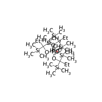 CCC(OP(=O)(OC(CC)([Si](C)(C)C)[Si](C)(C)C)OC(CC)([Si](C)(C)C)[Si](C)(C)C)([Si](C)(C)C)[Si](C)(C)C